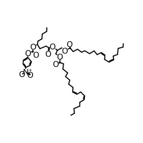 CCCCC/C=C\C/C=C\CCCCCCCC(=O)OCC(COC(=O)CCCCCCC/C=C\C/C=C\CCCCC)OC(=O)CCC(CCCCC)OC(=O)Oc1ccc([N+](=O)[O-])cc1